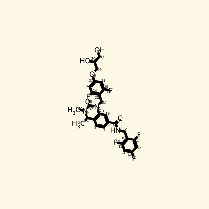 CC1c2ccc(C(=O)NCc3c(F)cc(F)cc3F)cc2N(Cc2c(F)cc(OCC(O)CO)cc2F)C(=O)N1C